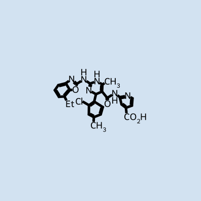 CCc1cccc2nc(NC3=NC(c4ccc(C)cc4Cl)C(C(=O)Nc4cc(C(=O)O)ccn4)=C(C)N3)oc12